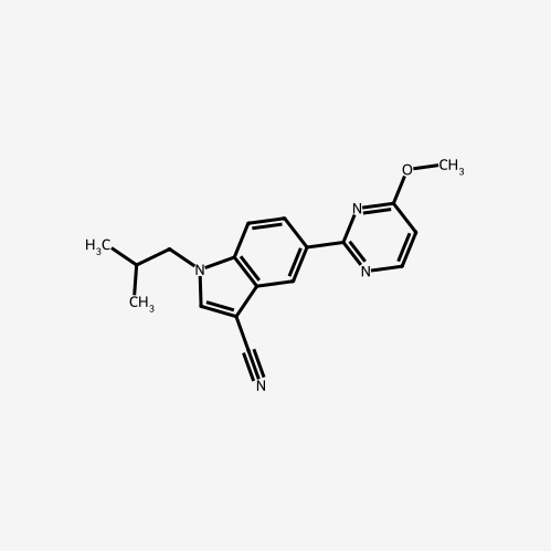 COc1ccnc(-c2ccc3c(c2)c(C#N)cn3CC(C)C)n1